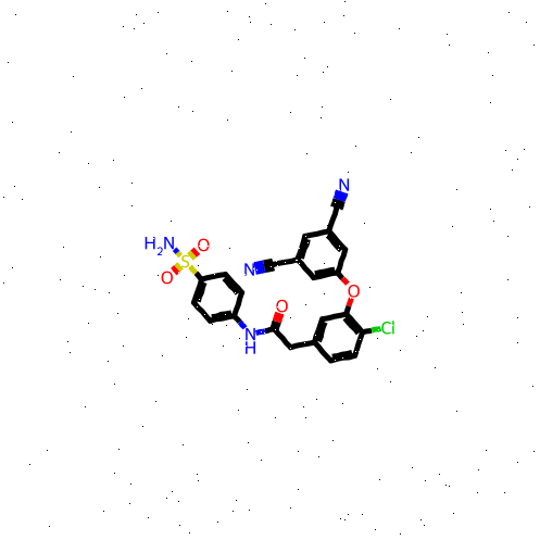 N#Cc1cc(C#N)cc(Oc2cc(CC(=O)Nc3ccc(S(N)(=O)=O)cc3)ccc2Cl)c1